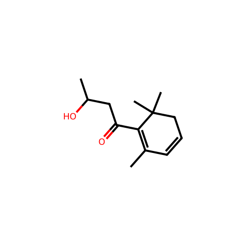 CC1=C(C(=O)CC(C)O)C(C)(C)CC=C1